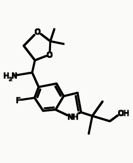 CC1(C)OCC(C(N)c2cc3cc(C(C)(C)CO)[nH]c3cc2F)O1